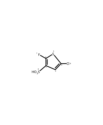 O=S(=O)(O)c1cc(Cl)sc1F